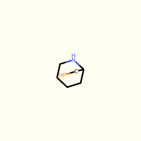 C1CC2CNC1CP2